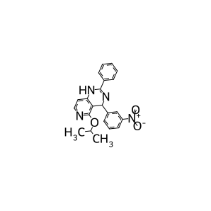 CC(C)Oc1nccc2c1C(c1cccc([N+](=O)[O-])c1)N=C(c1ccccc1)N2